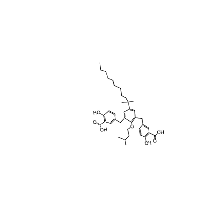 CCCCCCCCCC(C)(C)c1cc(Cc2ccc(O)c(C(=O)O)c2)c(OCCC(C)C)c(Cc2ccc(O)c(C(=O)O)c2)c1